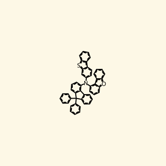 c1ccc(C2(c3ccccc3)c3ccccc3-c3c(N(c4ccc5c(c4)sc4ccccc45)c4cccc5oc6ccccc6c45)cccc32)cc1